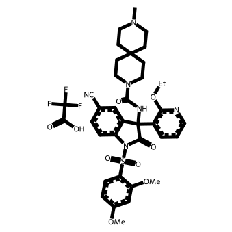 CCOc1ncccc1C1(NC(=O)N2CCC3(CCN(C)CC3)CC2)C(=O)N(S(=O)(=O)c2ccc(OC)cc2OC)c2ccc(C#N)cc21.O=C(O)C(F)(F)F